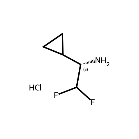 Cl.N[C@H](C(F)F)C1CC1